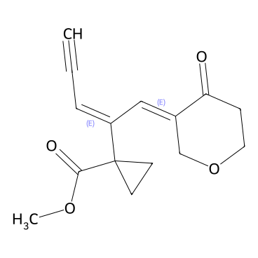 C#C/C=C(\C=C1/COCCC1=O)C1(C(=O)OC)CC1